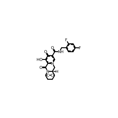 O=C(NCc1ccc(F)cc1F)c1cn2c(c(O)c1=O)C(=O)N1C3CCC(CC3)[C@H]1C2